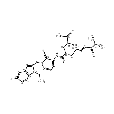 CCn1c(Cn2cccc(NC(=O)[C@@H](CC/C=C/C(=O)N(C)C)CN(C)C(=O)O)c2=O)cc2cc(F)ccc21